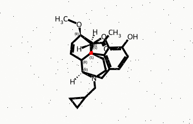 CO[C@]12C=C[C@@]3(C[C@@H]1C(C)=O)[C@H]1Cc4ccc(O)c5c4[C@@]3(CCN1CC1CC1)[C@H]2O5